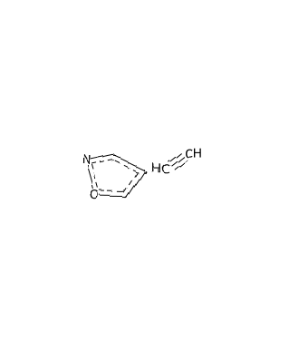 C#C.c1cnoc1